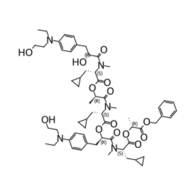 CCN(CCO)c1ccc(C[C@@H](O)C(=O)N(C)[C@@H](CC2CC2)C(=O)O[C@H](C)C(=O)N(C)[C@@H](CC2CC2)C(=O)O[C@H](Cc2ccc(N(CC)CCO)cc2)C(=O)N(C)[C@@H](CC2CC2)C(=O)O[C@H](C)C(=O)OCc2ccccc2)cc1